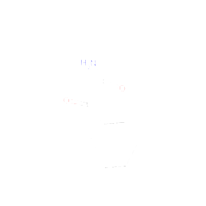 NC(=O)C(=O)C1CCCCC1